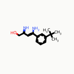 CC(C)(C)c1cccc(/C(N)=C/C(=N)CO)c1